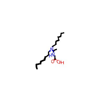 CCCCCCCCN(CCCCCCCC)C(C)NCC(=O)O